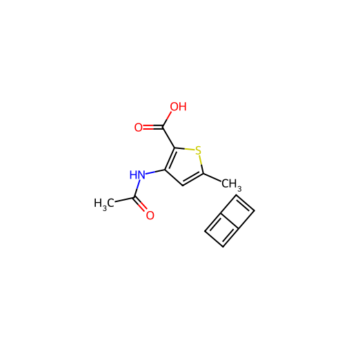 CC(=O)Nc1cc(C)sc1C(=O)O.c1cc2ccc1-2